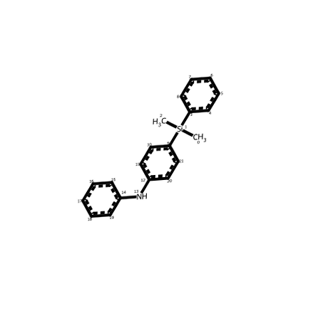 C[Si](C)(c1ccccc1)c1ccc(Nc2ccccc2)cc1